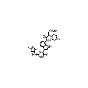 COCC(C(=O)Nc1cccc2c(-c3nc(Nc4cn(C)nc4C)ncc3F)c[nH]c12)N1CCN(C)CC1